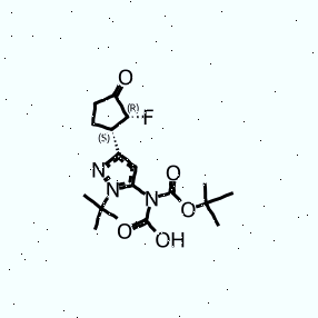 CC(C)(C)OC(=O)N(C(=O)O)c1cc([C@@H]2CCC(=O)[C@@H]2F)nn1C(C)(C)C